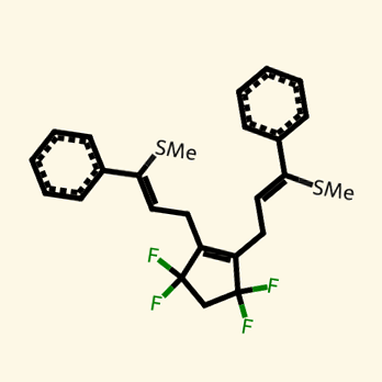 CS/C(=C\CC1=C(C/C=C(\SC)c2ccccc2)C(F)(F)CC1(F)F)c1ccccc1